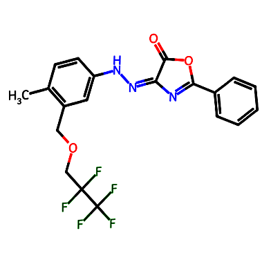 Cc1ccc(N/N=C2/N=C(c3ccccc3)OC2=O)cc1COCC(F)(F)C(F)(F)F